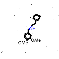 COc1ccc(CNCCc2ccccc2)cc1OC